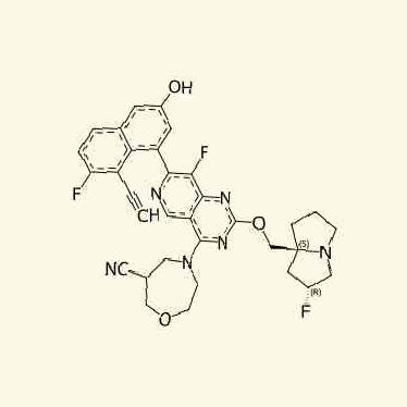 C#Cc1c(F)ccc2cc(O)cc(-c3ncc4c(N5CCOCC(C#N)C5)nc(OC[C@@]56CCCN5C[C@H](F)C6)nc4c3F)c12